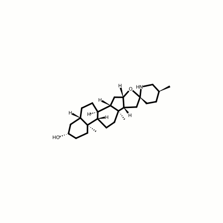 C[C@H]1CC[C@]2(C[C@H]3[C@H](C[C@H]4[C@@H]5CC[C@H]6C[C@@H](O)CC[C@]6(C)[C@H]5CC[C@@]43C)O2)NC1